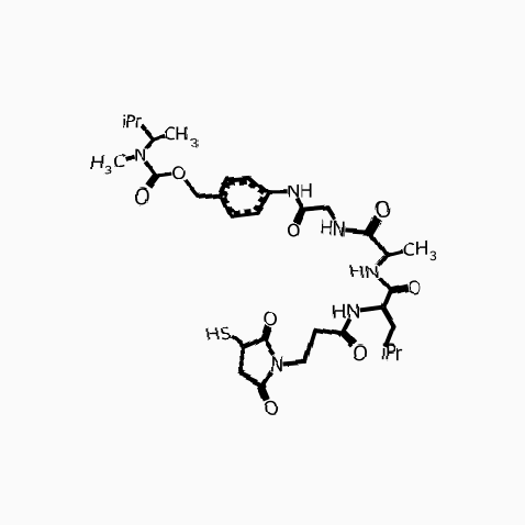 CC(C)CC(NC(=O)CCN1C(=O)CC(S)C1=O)C(=O)NC(C)C(=O)NCC(=O)Nc1ccc(COC(=O)N(C)C(C)C(C)C)cc1